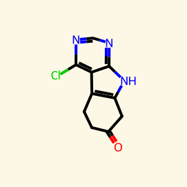 O=C1CCc2c([nH]c3ncnc(Cl)c23)C1